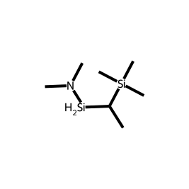 CC([SiH2]N(C)C)[Si](C)(C)C